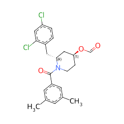 Cc1cc(C)cc(C(=O)N2CC[C@H](OC=O)C[C@H]2Cc2ccc(Cl)cc2Cl)c1